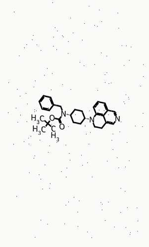 CC(C)(C)OC(=O)N(Cc1ccccc1)[C@H]1CC[C@@H](N2CCc3cncc4cccc2c34)CC1